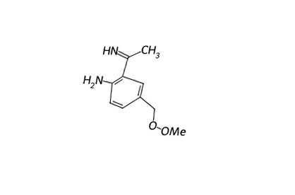 COOCc1ccc(N)c(C(C)=N)c1